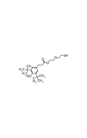 CC(C)(C)c1cc(CCC(=O)OCCOCCS)cc(C(C)(C)C)c1O